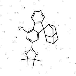 CC1(C)OB(c2cc(C#N)c3c(c2)C2(c4cnccc4-3)C3CC4CC(C3)CC2C4)OC1(C)C